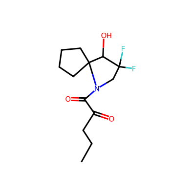 CCCC(=O)C(=O)N1CC(F)(F)C(O)C12CCCC2